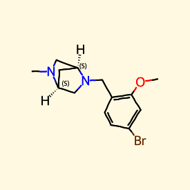 COc1cc(Br)ccc1CN1C[C@@H]2C[C@H]1CN2C